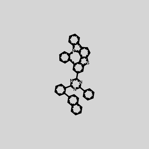 c1ccc(-c2nc(-c3cc4sc5ccc6c7ccccc7n7c8ccccc8c(c3)c4c5c67)nc(-c3ccccc3-c3ccc4ccccc4c3)n2)cc1